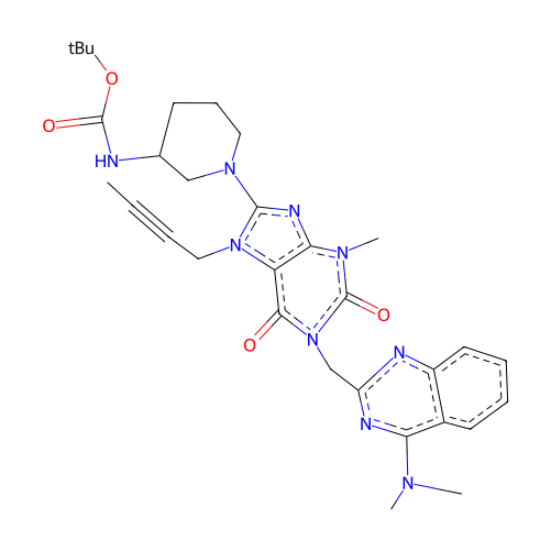 CC#CCn1c(N2CCCC(NC(=O)OC(C)(C)C)C2)nc2c1c(=O)n(Cc1nc(N(C)C)c3ccccc3n1)c(=O)n2C